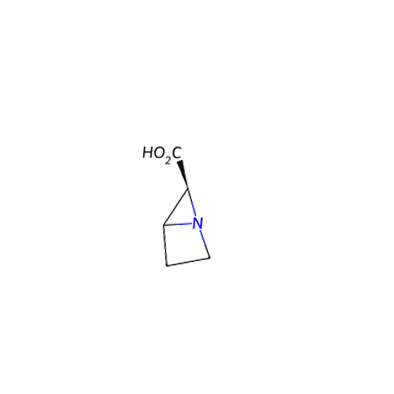 O=C(O)[C@@H]1C2CCN21